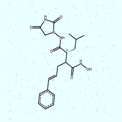 CC(C)C[C@@H](C(=O)NN1CC(=O)NC1=O)C(C/C=C/c1ccccc1)C(=O)NO